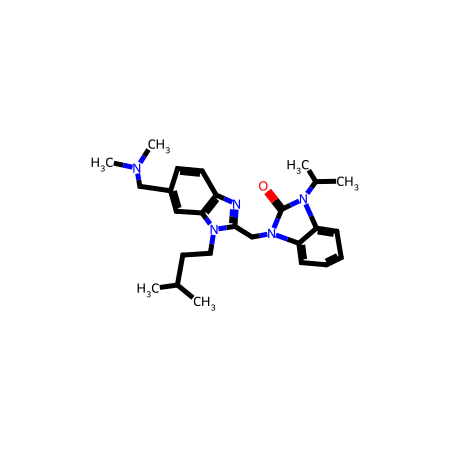 CC(C)CCn1c(Cn2c(=O)n(C(C)C)c3ccccc32)nc2ccc(CN(C)C)cc21